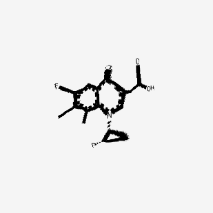 Cc1c(F)cc2c(=O)c(C(=O)O)cn([C@@H]3C[C@@H]3F)c2c1C